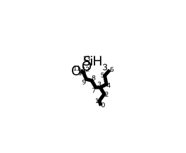 CCCC(CCC)CCCC(=O)O[SiH3]